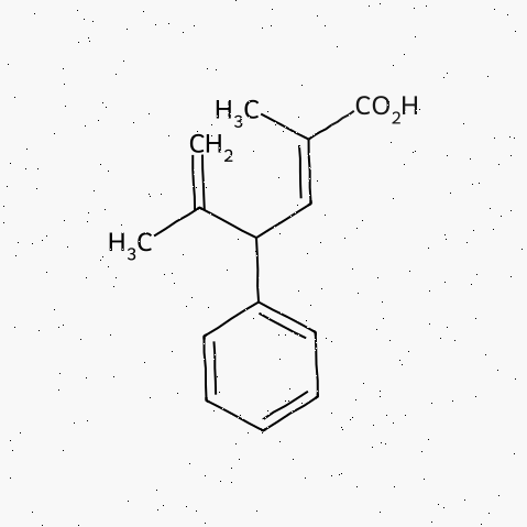 C=C(C)C(C=C(C)C(=O)O)c1ccccc1